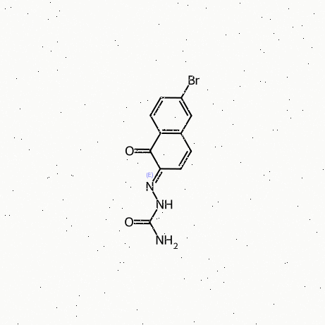 NC(=O)N/N=C1\C=Cc2cc(Br)ccc2C1=O